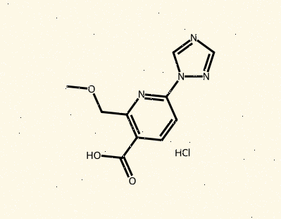 COCc1nc(-n2cncn2)ccc1C(=O)O.Cl